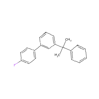 CC(C)(c1ccccc1)c1cccc(-c2ccc(I)cc2)c1